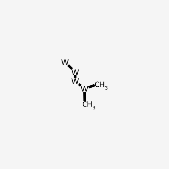 [CH3][W]([CH3])[W][W][W]